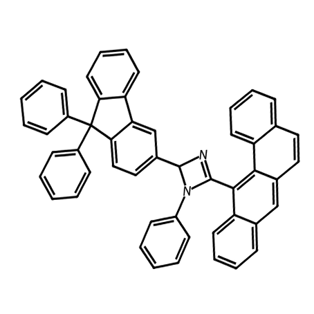 c1ccc(N2C(c3c4ccccc4cc4ccc5ccccc5c34)=NC2c2ccc3c(c2)-c2ccccc2C3(c2ccccc2)c2ccccc2)cc1